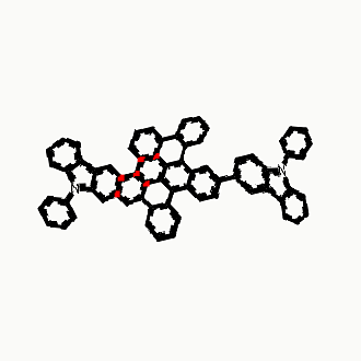 c1ccc(-c2ccccc2-c2c3ccc(-c4ccc5c(c4)c4ccccc4n5-c4ccccc4)cc3c(-c3ccccc3-c3ccccc3)c3ccc(-c4ccc5c(c4)c4ccccc4n5-c4ccccc4)cc23)cc1